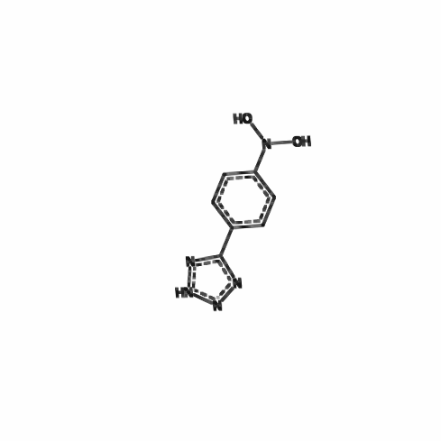 ON(O)c1ccc(-c2nn[nH]n2)cc1